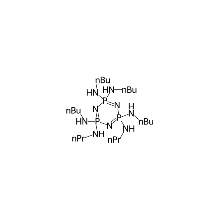 CCCCNP1(NCCC)=NP(NCCC)(NCCCC)=NP(NCCCC)(NCCCC)=N1